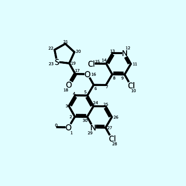 COc1ccc(C(Cc2c(Cl)cncc2Cl)OC(=O)C2CCCS2)c2ccc(Cl)nc12